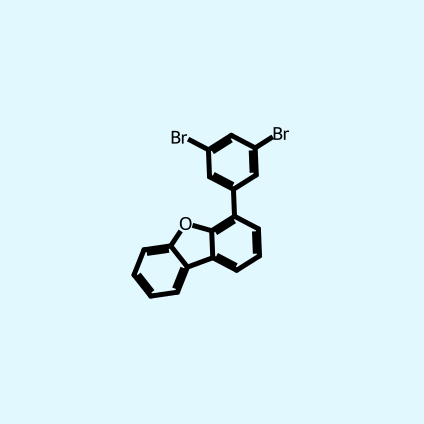 Brc1cc(Br)cc(-c2cccc3c2oc2ccccc23)c1